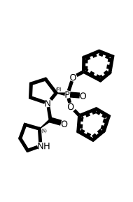 O=C([C@@H]1CCCN1)N1CCC[C@H]1P(=O)(Oc1ccccc1)Oc1ccccc1